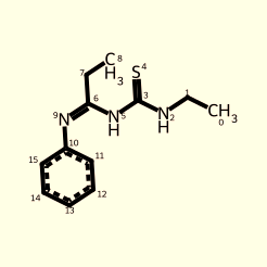 CCNC(=S)NC(CC)=Nc1ccccc1